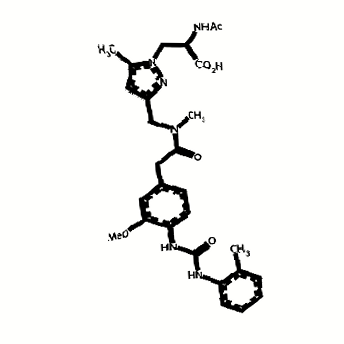 COc1cc(CC(=O)N(C)Cc2cc(C)n(CC(NC(C)=O)C(=O)O)n2)ccc1NC(=O)Nc1ccccc1C